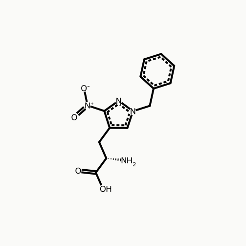 N[C@@H](Cc1cn(Cc2ccccc2)nc1[N+](=O)[O-])C(=O)O